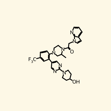 CC1CN(c2ccc(C(F)(F)F)cc2-c2cnc(N3CCC(O)CC3)nc2)CCN1C(=O)Cn1ccc2cccnc21